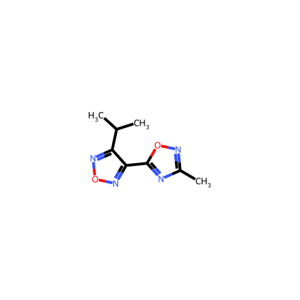 Cc1noc(-c2nonc2C(C)C)n1